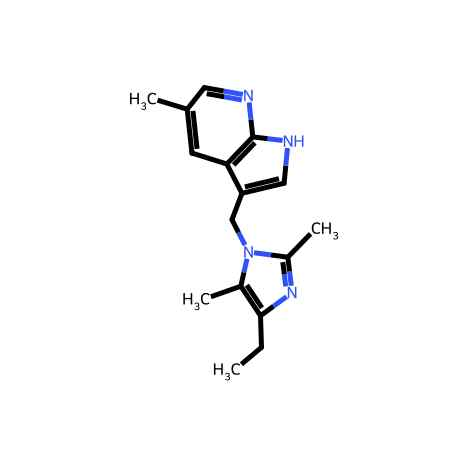 CCc1nc(C)n(Cc2c[nH]c3ncc(C)cc23)c1C